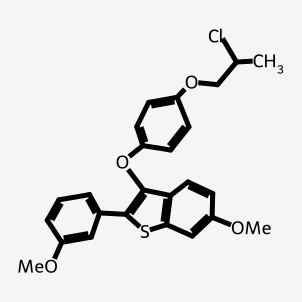 COc1cccc(-c2sc3cc(OC)ccc3c2Oc2ccc(OCC(C)Cl)cc2)c1